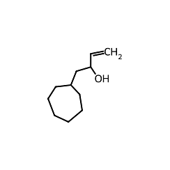 C=CC(O)CC1CCCCCC1